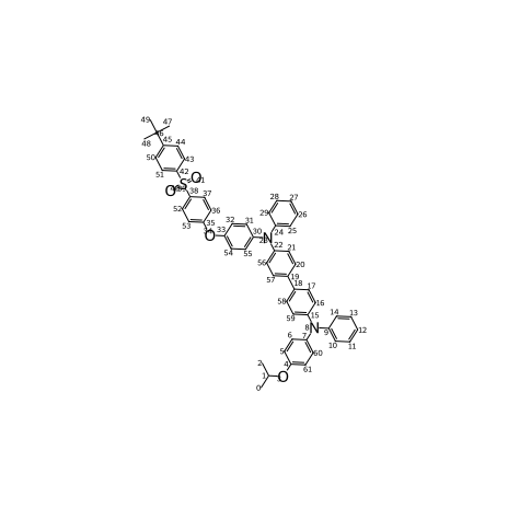 CC(C)Oc1ccc(N(c2ccccc2)c2ccc(-c3ccc(N(c4ccccc4)c4ccc(Oc5ccc(S(=O)(=O)c6ccc(C(C)(C)C)cc6)cc5)cc4)cc3)cc2)cc1